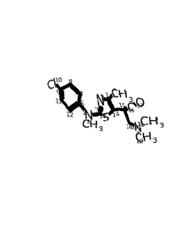 Cc1nc(N(C)c2ccc(Cl)cc2)sc1C(=C=O)CN(C)C